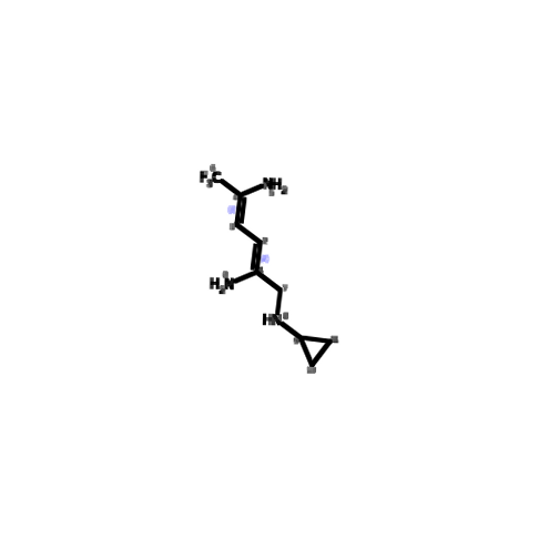 N/C(=C\C=C(/N)C(F)(F)F)CNC1CC1